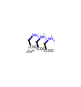 NCC(=O)[O-].NCC(=O)[O-].NCC(=O)[O-].[Cu+3]